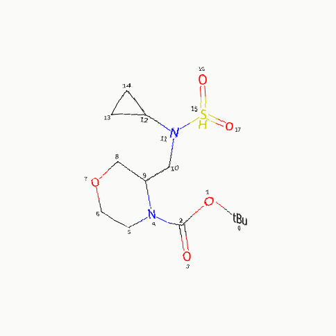 CC(C)(C)OC(=O)N1CCOCC1CN(C1CC1)[SH](=O)=O